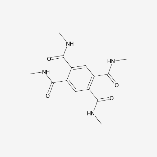 CNC(=O)c1cc(C(=O)NC)c(C(=O)NC)cc1C(=O)NC